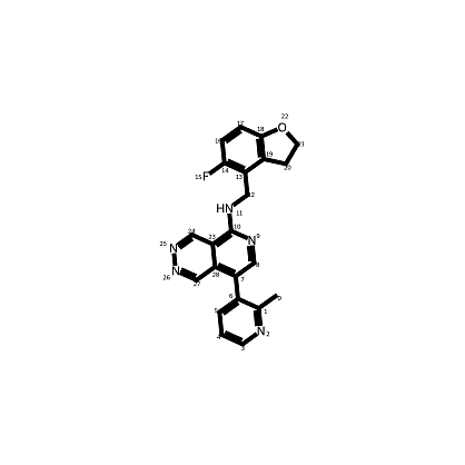 Cc1ncccc1-c1cnc(NCc2c(F)ccc3c2CCO3)c2cnncc12